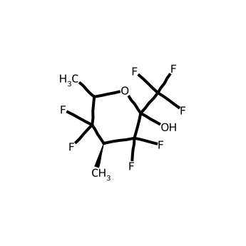 CC1OC(O)(C(F)(F)F)C(F)(F)[C@@H](C)C1(F)F